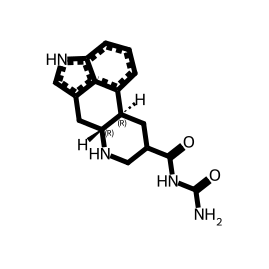 NC(=O)NC(=O)C1CN[C@@H]2Cc3c[nH]c4cccc(c34)[C@H]2C1